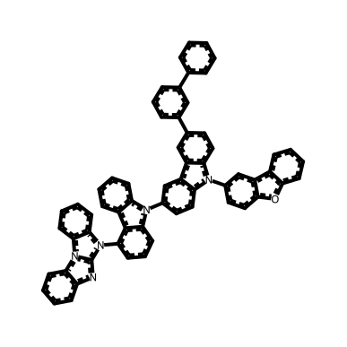 c1ccc(-c2cccc(-c3ccc4c(c3)c3cc(-n5c6ccccc6c6c(-n7c8ccccc8n8c9ccccc9nc78)cccc65)ccc3n4-c3ccc4oc5ccccc5c4c3)c2)cc1